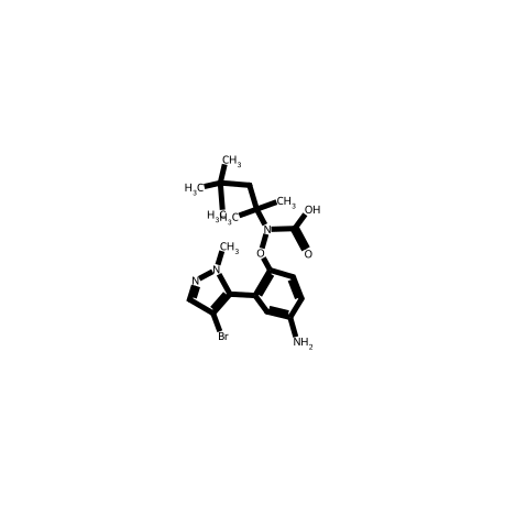 Cn1ncc(Br)c1-c1cc(N)ccc1ON(C(=O)O)C(C)(C)CC(C)(C)C